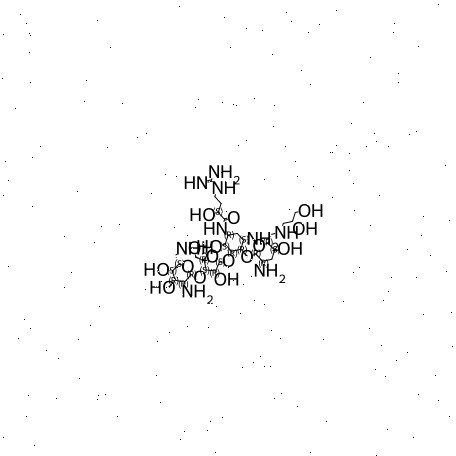 N=C(N)NCC[C@H](O)C(=O)N[C@@H]1C[C@H](N)[C@@H](O[C@H]2O[C@H](CNCC(O)CO)[C@@H](O)C[C@H]2N)[C@H](O[C@@H]2O[C@H](CO)[C@@H](O[C@H]3O[C@@H](CN)[C@@H](O)[C@H](O)[C@H]3N)[C@H]2O)[C@H]1O